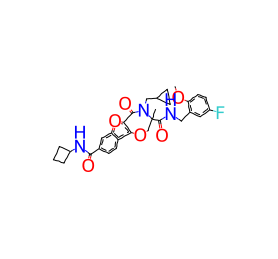 COc1ccc(F)cc1CNC(=O)C1(C)COc2c(oc3cc(C(=O)NC4CCC4)ccc23)C(=O)N1CC1CC1